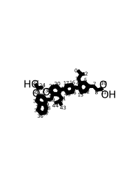 CC(C)Cc1cc(CCC(=O)O)ccc1-c1ccc(-c2ccc(OCC(=O)O)c(Cc3cccc4ccccc34)c2CC(C)C)cc1